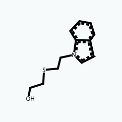 OCCSCCn1c[c]c2ccccc21